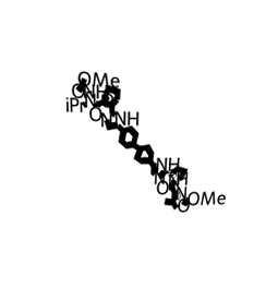 C=C(C)[C@H](NC(=O)OC)C(=O)N1CCC[C@H]1c1ncc(-c2ccc(-c3ccc(-c4cnc(-c5c(C(=O)N(NC(=O)OC)C(C)C)c6ccc5o6)[nH]4)cc3)cc2)[nH]1